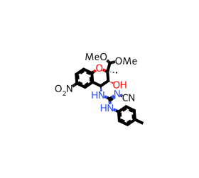 COC(OC)[C@]1(C)Oc2ccc([N+](=O)[O-])cc2[C@H](NC(=NC#N)Nc2ccc(C)cc2)[C@H]1O